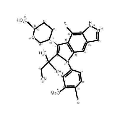 COc1cc(-n2c(C(C)(C)CC#N)c([C@H]3CC[C@H](C(=O)O)OC3)c3c(F)c4[nH]ncc4cc32)ccc1F